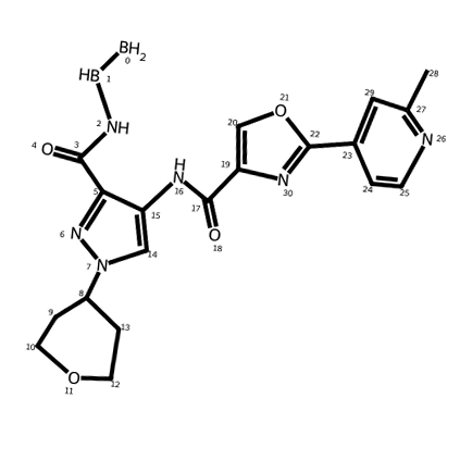 BBNC(=O)c1nn(C2CCOCC2)cc1NC(=O)c1coc(-c2ccnc(C)c2)n1